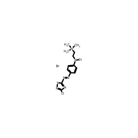 CCN(CC[N+](C)(C)C)c1ccc(N=Nc2nc(Cl)ns2)cc1.[Br-]